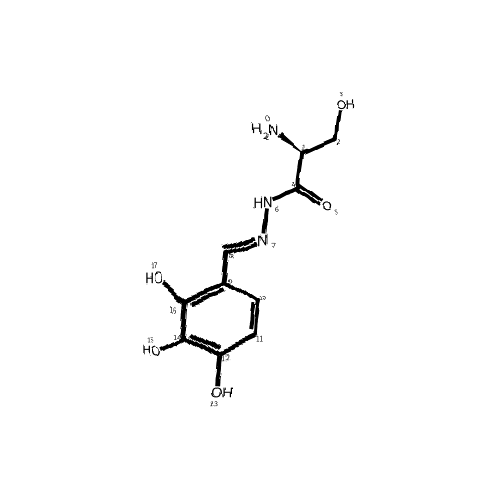 N[C@@H](CO)C(=O)N/N=C/c1ccc(O)c(O)c1O